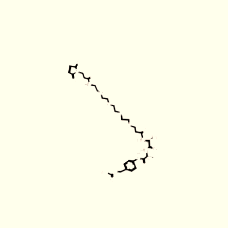 CC(C)C(=O)OCc1ccc(NC(=O)[C@H](C)NC(=O)[C@@H](NC(=O)CCOCCOCCOCCOCCNC(=O)CCN2C(=O)C=CC2=O)C(C)C)cc1